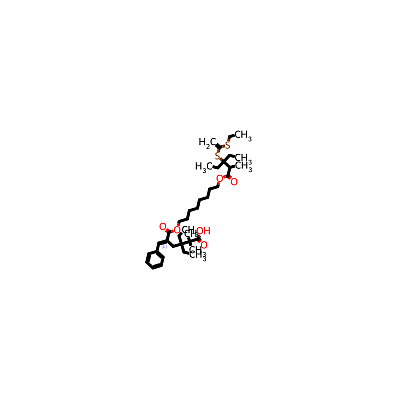 C=C(SCC)SC(CC)(CC)C(C)C(=O)OCCCCCCCCOC(=O)/C(=C/c1ccccc1)CC(CC)(CC)C(C)(C)C(=O)O